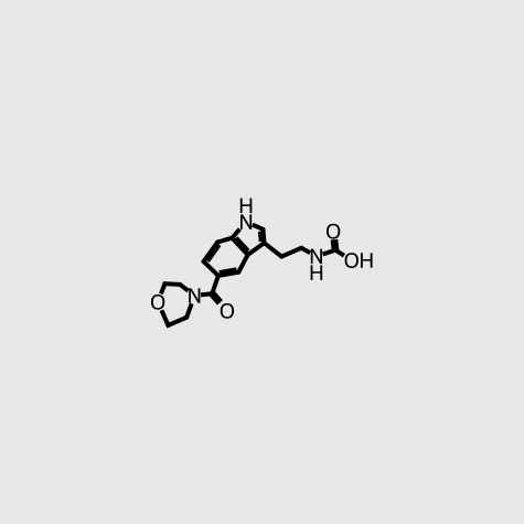 O=C(O)NCCc1c[nH]c2ccc(C(=O)N3CCOCC3)cc12